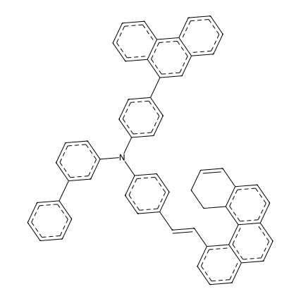 C1=Cc2ccc3ccc4cccc(C=Cc5ccc(N(c6ccc(-c7cc8ccccc8c8ccccc78)cc6)c6cccc(-c7ccccc7)c6)cc5)c4c3c2CC1